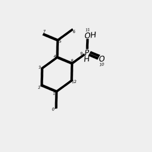 CC1CCC(C(C)C)C([PH](=O)O)C1